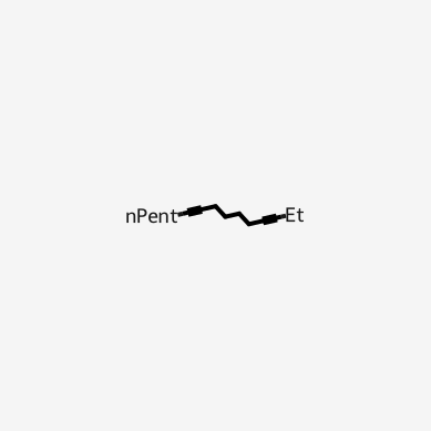 [CH2]CCCCC#CCCCCC#CCC